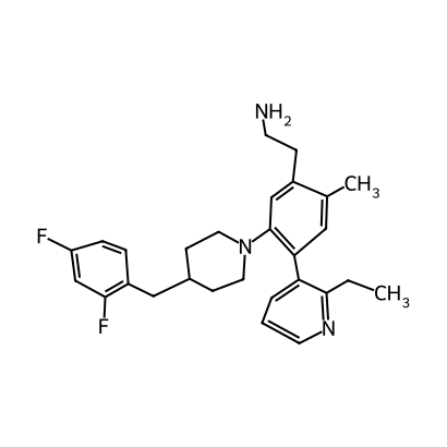 CCc1ncccc1-c1cc(C)c(CCN)cc1N1CCC(Cc2ccc(F)cc2F)CC1